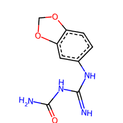 N=C(NC(N)=O)Nc1ccc2c(c1)OCO2